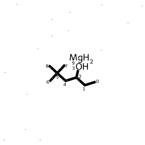 CCC(O)CC(C)(C)C.[MgH2]